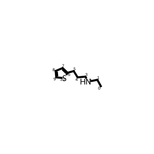 CCNCCCc1cccs1